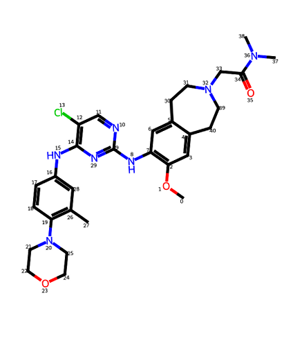 COc1cc2c(cc1Nc1ncc(Cl)c(Nc3ccc(N4CCOCC4)c(C)c3)n1)CCN(CC(=O)N(C)C)CC2